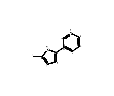 Cc1ccc(-c2cccnc2)s1